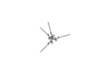 CCCCCCCCCCCCSCCC(=O)OCC(COC(=O)CCSCCCCCCCCCCC)(COC(=O)CCSCCCCCCCCCCCC)COC(=O)CCSCCCCCCCCCCCC